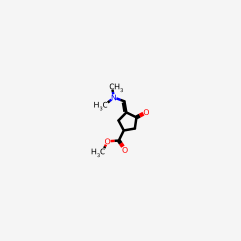 COC(=O)C1CC(=O)/C(=C/N(C)C)C1